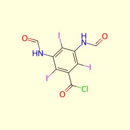 O=CNc1c(I)c(NC=O)c(I)c(C(=O)Cl)c1I